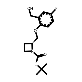 CC(C)(C)OC(=O)N1CC[C@H]1COc1ccc(F)cc1CO